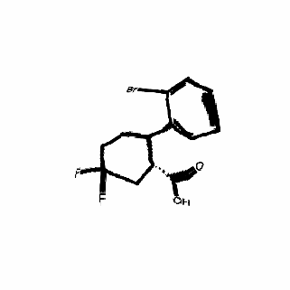 O=C(O)[C@@H]1CC(F)(F)CCC1c1ccccc1Br